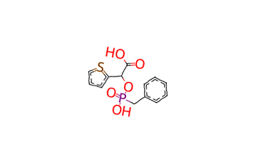 O=C(O)C(OP(=O)(O)Cc1ccccc1)c1cccs1